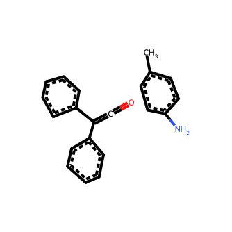 Cc1ccc(N)cc1.O=C=C(c1ccccc1)c1ccccc1